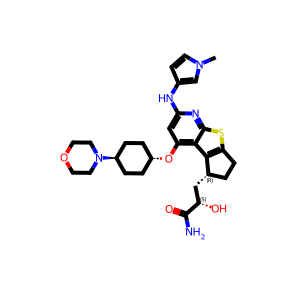 Cn1ccc(Nc2cc(O[C@H]3CC[C@H](N4CCOCC4)CC3)c3c4c(sc3n2)CC[C@@H]4C[C@H](O)C(N)=O)c1